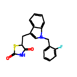 O=C1NC(=O)C(Cc2cn(Cc3ccccc3F)c3ccccc23)S1